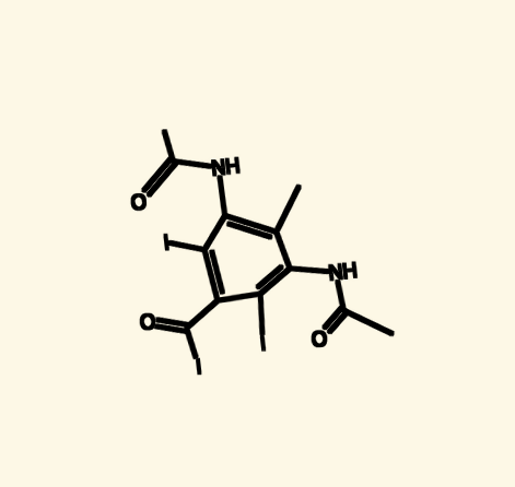 CC(=O)Nc1c(C)c(NC(C)=O)c(I)c(C(=O)I)c1I